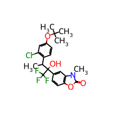 CC(c1ccc(OC(C)(C)C)cc1Cl)C(O)(c1ccc2oc(=O)n(C)c2c1)C(F)(F)F